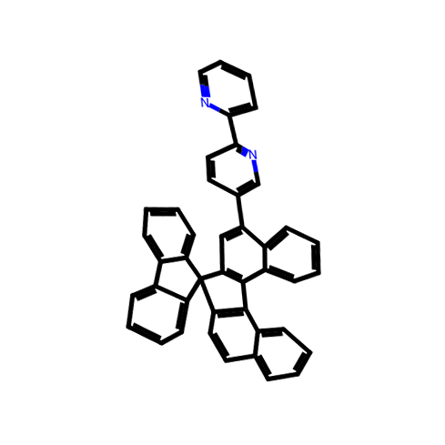 c1ccc(-c2ccc(-c3cc4c(c5ccccc35)-c3c(ccc5ccccc35)C43c4ccccc4-c4ccccc43)cn2)nc1